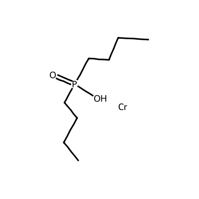 CCCCP(=O)(O)CCCC.[Cr]